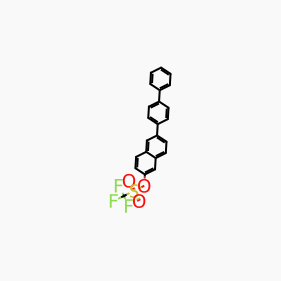 O=S(=O)(Oc1ccc2cc(-c3ccc(-c4ccccc4)cc3)ccc2c1)C(F)(F)F